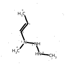 CC=CN(C)NNC